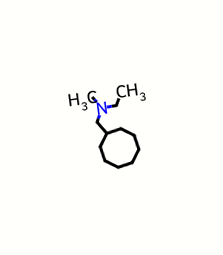 CCN(C)CC1CCCCCCC1